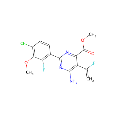 C=C(F)c1c(N)nc(-c2ccc(Cl)c(OC)c2F)nc1C(=O)OC